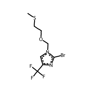 CSCCOCn1cc(C(F)(F)F)nc1Br